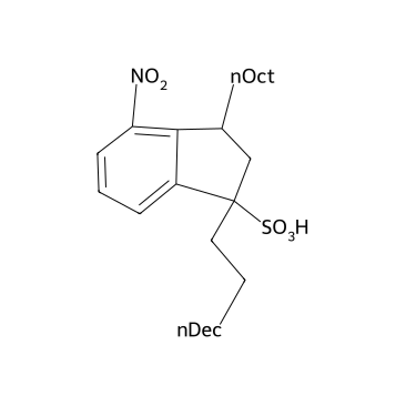 CCCCCCCCCCCCC1(S(=O)(=O)O)CC(CCCCCCCC)c2c([N+](=O)[O-])cccc21